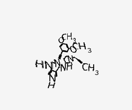 CC#CCN1CCC(N[C@@H]2c3c[nH]cc3NCN2C#Cc2cc(OC)cc(OC)c2)C1